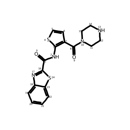 O=C(Nc1sccc1C(=O)N1CCNCC1)c1nc2ccccc2s1